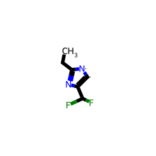 CCC1=NC(C(F)F)=[C][N]1